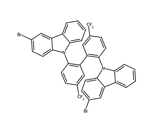 FC(F)(F)c1ccc(-n2c3ccccc3c3cc(Br)ccc32)c(-c2cc(C(F)(F)F)ccc2-n2c3ccccc3c3cc(Br)ccc32)c1